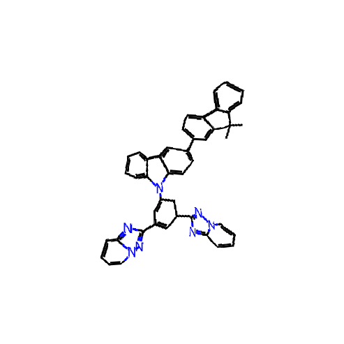 CC1(C)c2ccccc2-c2ccc(-c3ccc4c(c3)c3ccccc3n4C3=CC(c4nc5ccccn5n4)=CC(c4nc5ccccn5n4)C3)cc21